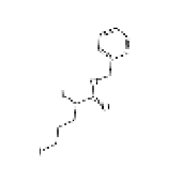 O=C(OCc1ccccc1)C(I)CCCI